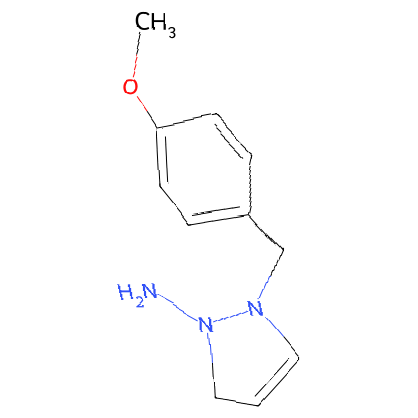 COc1ccc(CN2C=CCN2N)cc1